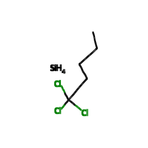 CCCCC(Cl)(Cl)Cl.[SiH4]